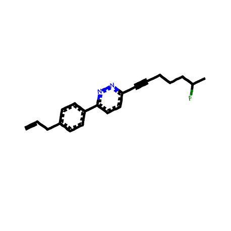 C=CCc1ccc(-c2ccc(C#CCCCC(C)F)nn2)cc1